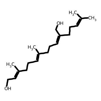 CC(C)=CCC/C(=C/CC/C(C)=C/CC/C(C)=C/CO)CO